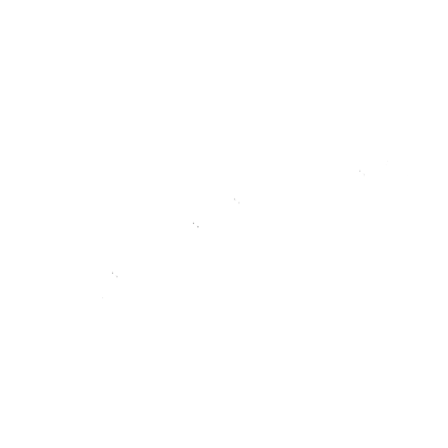 Cc1c(Oc2ccc(C3COC(=O)N3)cc2F)ncnc1OC1CCN(C(=O)OC(C)C)CC1